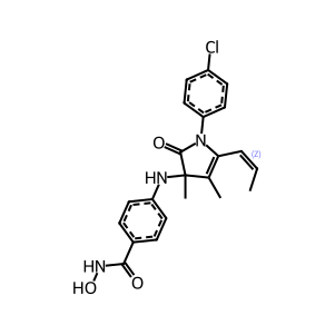 C/C=C\C1=C(C)C(C)(Nc2ccc(C(=O)NO)cc2)C(=O)N1c1ccc(Cl)cc1